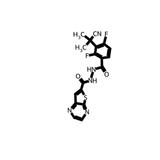 CC(C)(C#N)c1c(F)ccc(C(=O)NNC(=O)c2cc3nccnc3s2)c1F